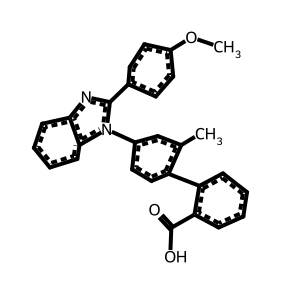 COc1ccc(-c2nc3ccccc3n2-c2ccc(-c3ccccc3C(=O)O)c(C)c2)cc1